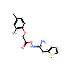 Cc1ccc(OCC(=O)O/N=C(\N)Cc2cccs2)c(Br)c1